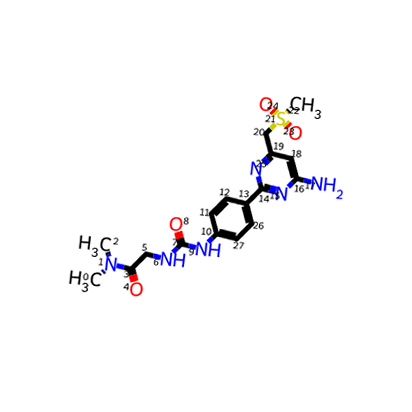 CN(C)C(=O)CNC(=O)Nc1ccc(-c2nc(N)cc(CS(C)(=O)=O)n2)cc1